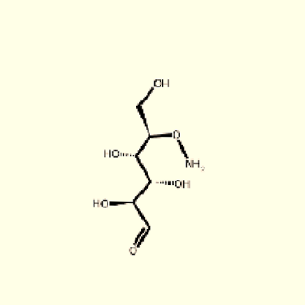 NO[C@H](CO)[C@@H](O)[C@H](O)[C@H](O)C=O